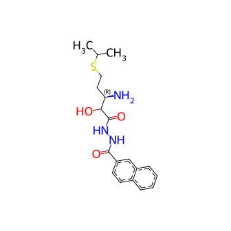 CC(C)SCC[C@@H](N)C(O)C(=O)NNC(=O)c1ccc2ccccc2c1